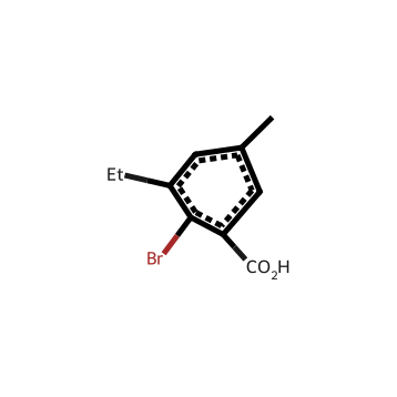 CCc1cc(C)cc(C(=O)O)c1Br